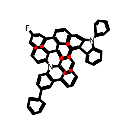 Fc1cccc(-c2cccc3cccc(-c4ccccc4N(c4cccc(-c5cccc6c5c5ccccc5n6-c5ccccc5)c4)c4ccc(-c5ccccc5)cc4-c4ccccc4)c23)c1